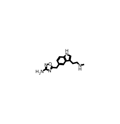 CNCCc1c[nH]c2ccc(Cc3nc(N)no3)cc12